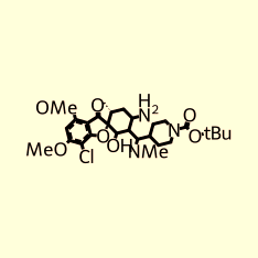 CNC(C1CCN(C(=O)OC(C)(C)C)CC1)C1C(N)C[C@@H](C)[C@]2(Oc3c(Cl)c(OC)cc(OC)c3C2=O)C1O